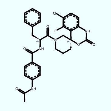 CC(=O)Nc1ccc(C(=O)N[C@@H](Cc2ccccc2)C(=O)N2CCC[C@@]3(C2)OC(=O)Nc2ccc(Cl)c(F)c23)cc1